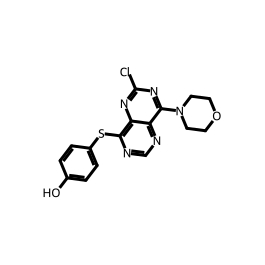 Oc1ccc(Sc2ncnc3c(N4CCOCC4)nc(Cl)nc23)cc1